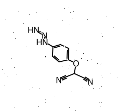 N#CC(C#N)Oc1ccc(NN=N)cc1